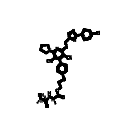 [C-]#[N+]c1c(N2CCCC2)nc(SCc2csc(-c3ccc(Cl)cc3)n2)c(C#N)c1-c1ccc(OCCOC(=O)[C@H](C)NC(=O)[C@H](C)N)cc1